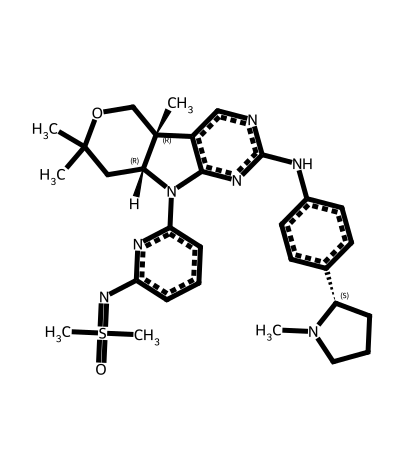 CN1CCC[C@H]1c1ccc(Nc2ncc3c(n2)N(c2cccc(N=S(C)(C)=O)n2)[C@@H]2CC(C)(C)OC[C@]32C)cc1